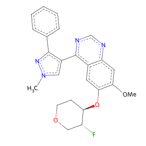 COc1cc2ncnc(-c3cn(C)nc3-c3ccccc3)c2cc1O[C@@H]1CCOC[C@H]1F